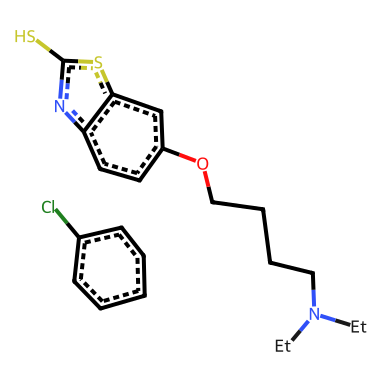 CCN(CC)CCCCOc1ccc2nc(S)sc2c1.Clc1ccccc1